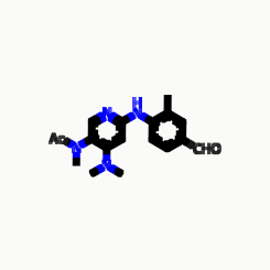 CC(=O)N(C)c1cnc(Nc2ccc(C=O)cc2C)cc1N(C)C